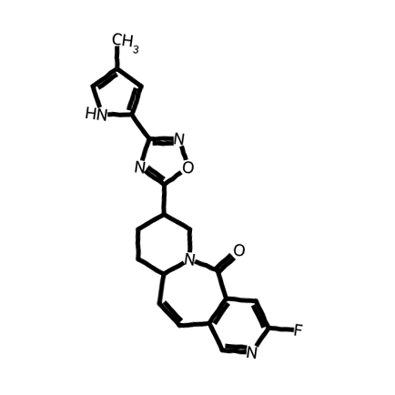 Cc1c[nH]c(-c2noc(C3CCC4C=Cc5cnc(F)cc5C(=O)N4C3)n2)c1